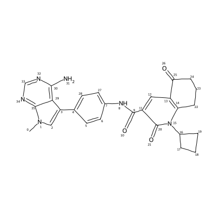 Cn1cc(-c2ccc(NC(=O)c3cc4c(n(C5CCC5)c3=O)CCCC4=O)cc2)c2c(N)ncnc21